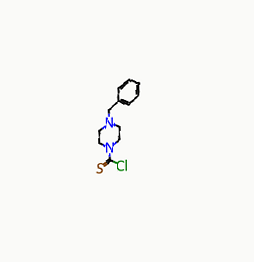 S=C(Cl)N1CCN(Cc2ccccc2)CC1